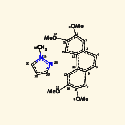 COc1cc2ccc3cc(OC)c(OC)cc3c2cc1OC.Cn1cccn1